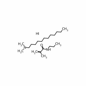 C=C(C)C(=O)NCCC.CCCCCCCCCCCCN(C)C.I